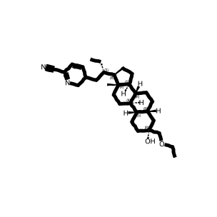 CCOC[C@@]1(O)CC[C@H]2[C@H](CC[C@@H]3[C@@H]2CC[C@]2(C)[C@@H]([C@@H](CC)CC4C=CC(C#N)=NC4)CC[C@@H]32)C1